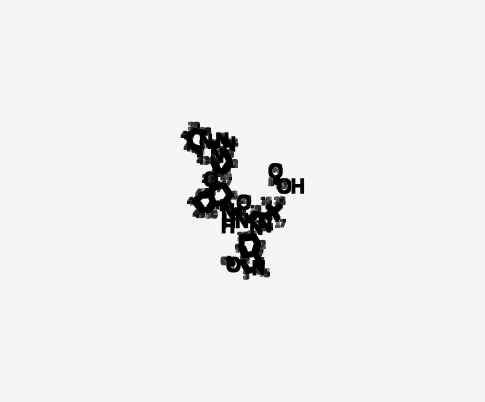 COCCN(C)Cc1cccc(-n2nc(C(C)(C)C)cc2NC(=O)N[C@H]2CC[C@@H](Oc3ccc4nnc(N5CCCCC5C)n4c3)c3ccccc32)c1.O=CO